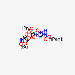 CCCCCOC(=O)Nc1ccn([C@@H]2O[C@H](OC(=O)C(C)(NC(=O)OC(C)(C)C)C(C)C)[C@@H](OC(=O)C(C)C)C2(F)F)c(=O)n1